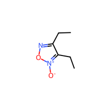 CCc1no[n+]([O-])c1CC